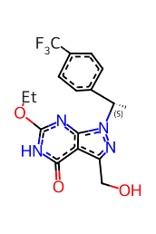 CCOc1nc2c(c(CO)nn2[C@@H](C)c2ccc(C(F)(F)F)cc2)c(=O)[nH]1